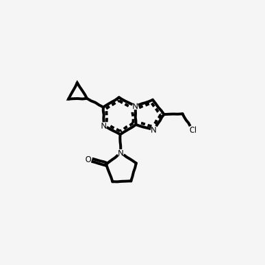 O=C1CCCN1c1nc(C2CC2)cn2cc(CCl)nc12